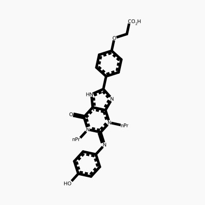 CCCn1c(=O)c2[nH]c(-c3ccc(OCC(=O)O)cc3)nc2n(CCC)c1=Nc1ccc(O)cc1